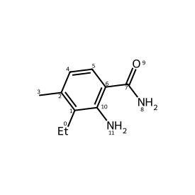 CCc1c(C)ccc(C(N)=O)c1N